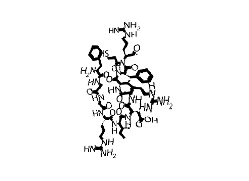 CC[C@H](C)[C@H](NC(=O)[C@H](CCCNC(=N)N)NC(=O)CNC(=O)CNC(=O)[C@@H](N)Cc1ccccc1)C(=O)N[C@@H](CC(=O)O)C(=O)N[C@@H](CCCNC(=N)N)C(=O)N[C@H](C(=O)N[C@@H](Cc1ccccc1)C(=O)N(C(=O)CCS)[C@H]([C]=O)CCCNC(=N)N)[C@@H](C)CC